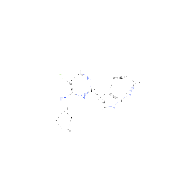 Fc1cnc(-c2c[nH]c3ncc(Cl)cc23)nc1NC1CCCC1